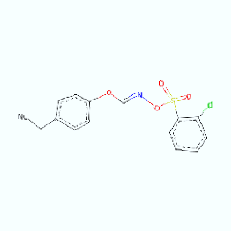 N#CCc1ccc(OC=NOS(=O)(=O)c2ccccc2Cl)cc1